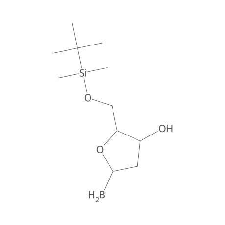 BC1CC(O)C(CO[Si](C)(C)C(C)(C)C)O1